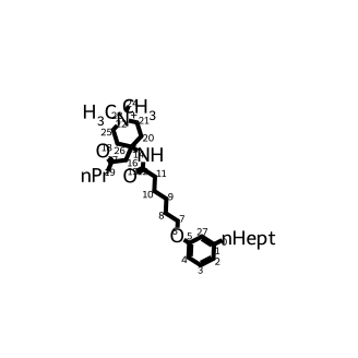 CCCCCCCc1cccc(OCCCCCC(=O)NC2(CC(=O)CCC)CC[N+](C)(C)CC2)c1